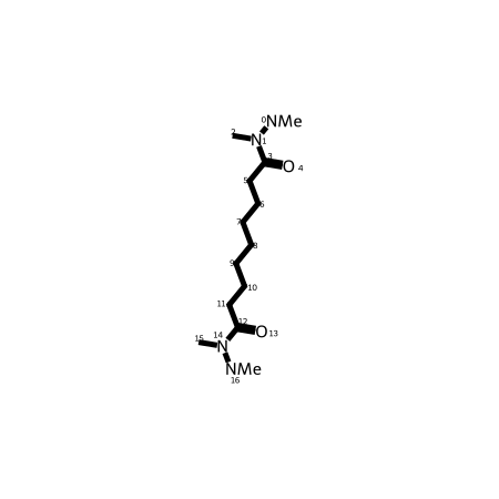 CNN(C)C(=O)CCCCCCCC(=O)N(C)NC